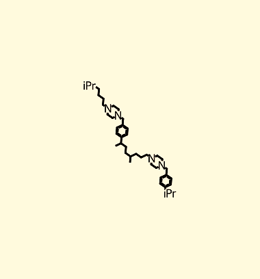 CC(C)CCCCN1CCN(Cc2ccc(C(C)CCC(C)CCCN3CCN(Cc4ccc(C(C)C)cc4)CC3)cc2)CC1